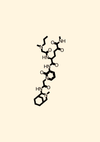 CCCN(C)CC(=O)NC(CCC(=O)C(=O)NC)C(=O)Nc1cccn(CC(=O)NC2C3CCCC(C3)CN2C)c1=O